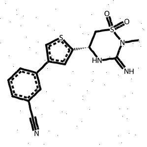 CN1C(=N)N[C@H](c2cc(-c3cccc(C#N)c3)cs2)CS1(=O)=O